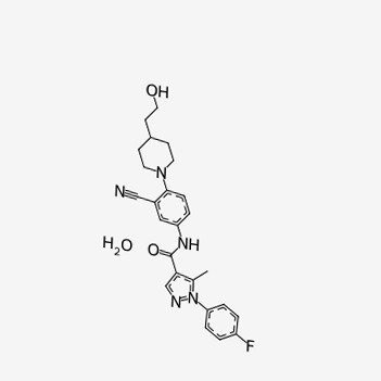 Cc1c(C(=O)Nc2ccc(N3CCC(CCO)CC3)c(C#N)c2)cnn1-c1ccc(F)cc1.O